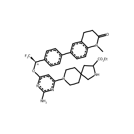 CCOC(=O)C1CC2(CCN(c3cc(O[C@H](c4ccc(-c5ccc6c(c5)CCC(=O)N6C)cc4)C(F)(F)F)nc(N)n3)CC2)CN1